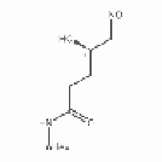 CCCCCCNC(=O)CC[C@@H](O)CN=O